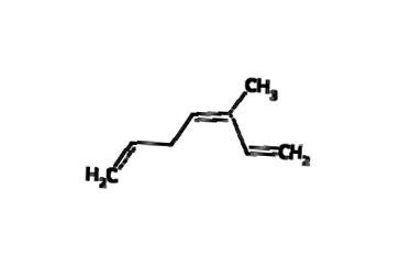 C=CCC=C(C)C=C